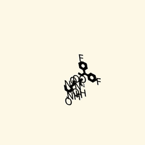 CC(OC(=O)[C@H](C)NC(=O)c1nccc(NC=O)c1O)C(c1ccc(F)cc1)c1ccc(F)cc1